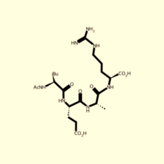 CC[C@H](C)[C@H](NC(C)=O)C(=O)N[C@@H](CCC(=O)O)C(=O)N[C@@H](C)C(=O)N[C@@H](CCCNC(=N)N)C(=O)O